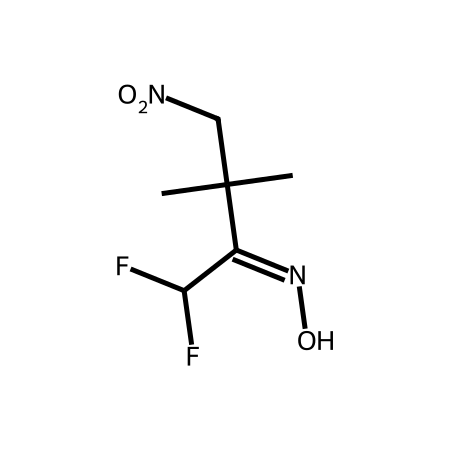 CC(C)(C[N+](=O)[O-])C(=NO)C(F)F